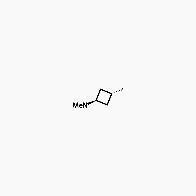 CN[C@H]1C[C@H](C)C1